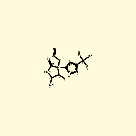 C=CC[N+]1(c2cc(C(F)(F)F)no2)C(=O)NC(O)C1C